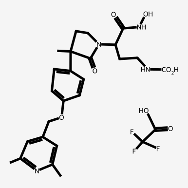 Cc1cc(COc2ccc(C3(C)CCN(C(CCNC(=O)O)C(=O)NO)C3=O)cc2)cc(C)n1.O=C(O)C(F)(F)F